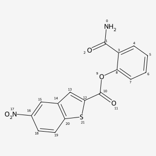 NC(=O)c1ccccc1OC(=O)c1cc2cc([N+](=O)[O-])ccc2s1